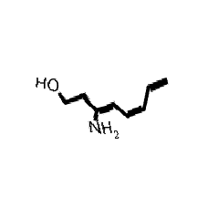 C=C/C=C\C=C(/N)CCO